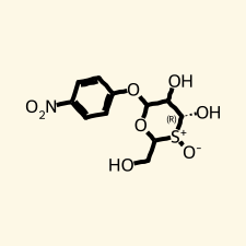 O=[N+]([O-])c1ccc(OC2OC(CO)[S+]([O-])[C@@H](O)C2O)cc1